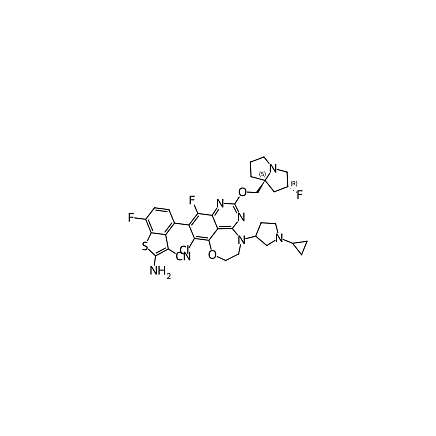 N#Cc1c(N)sc2c(F)ccc(-c3c(Cl)c4c5c(nc(OC[C@@]67CCCN6C[C@H](F)C7)nc5c3F)N(C3CCN(C5CC5)C3)CCO4)c12